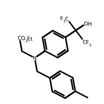 CCOC(=O)CN(Cc1ccc(C)cc1)c1ccc(C(O)(C(F)(F)F)C(F)(F)F)cc1